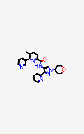 Cc1ccc(C(=O)Nc2cn(C3CCOCC3)nc2-c2ccccn2)nc1-c1cccnc1